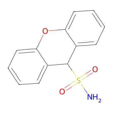 NS(=O)(=O)C1c2ccccc2Oc2ccccc21